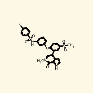 Cn1cc(-c2cc(S(C)(=O)=O)ccc2Oc2cccc(NS(=O)(=O)c3ccc(F)cc3)c2)c2cc[nH]c2c1=O